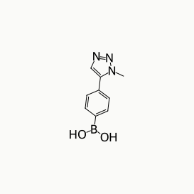 Cn1nncc1-c1ccc(B(O)O)cc1